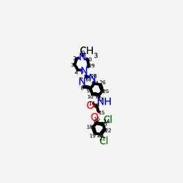 CN1CCCN(c2ncc3cc(NC(=O)COc4ccc(Cl)cc4Cl)ccc3n2)CC1